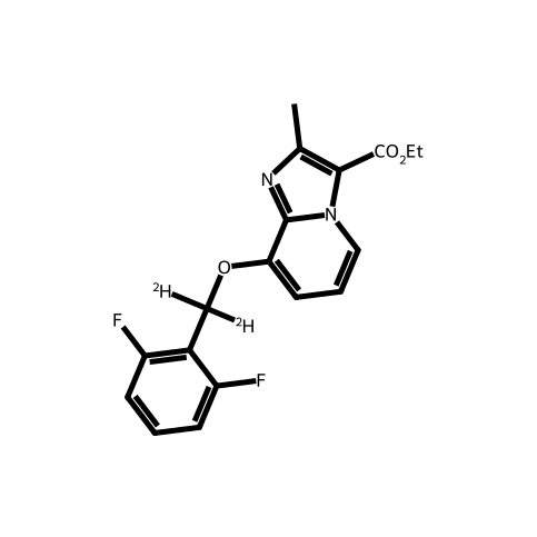 [2H]C([2H])(Oc1cccn2c(C(=O)OCC)c(C)nc12)c1c(F)cccc1F